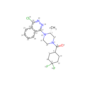 C[C@@H]1CN(C(=O)C2CCC(F)(F)CC2)CCN1c1nnc(Cl)c2ccccc12